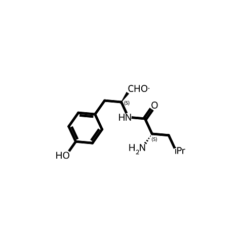 CC(C)C[C@H](N)C(=O)N[C@H]([C]=O)Cc1ccc(O)cc1